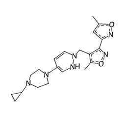 Cc1cc(-c2noc(C)c2CN2C=CC(N3CCN(C4CC4)CC3)=CN2)no1